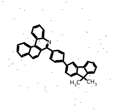 CC1(C)c2ccccc2-c2cc(-c3ccc(-c4nc5ccccc5c5c4ccc4ccccc45)cc3)ccc21